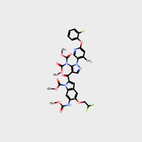 Cc1cc(Oc2ccccc2F)ncc1-n1ncc(C(=O)c2cc3cc(OCC(F)F)c(NC(=O)OC(C)(C)C)cc3n2C(=O)OC(C)(C)C)c1N(C(=O)OC(C)(C)C)C(=O)OC(C)(C)C